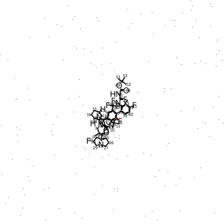 CC(F)CN(C(=O)OC(C)(C)C)C1C[C@H]2CC[C@@H]1N2c1nc(OC[C@@]23CCCN2C[C@H](F)C3)nc2c(F)c(-c3ccc(F)c4sc(NC(=O)OC(C)(C)C)nc34)c(C(F)(F)F)cc12